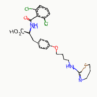 O=C(NC(Cc1ccc(OCCCCNC2=NCCCS2)cc1)C(=O)O)c1c(Cl)cccc1Cl